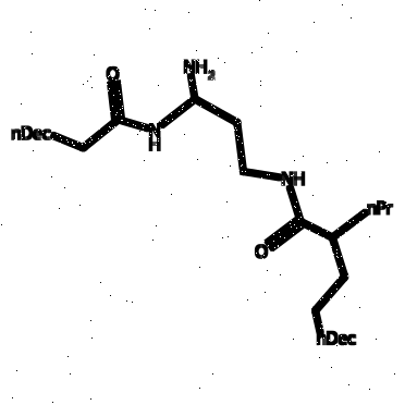 CCCCCCCCCCCCC(CCC)C(=O)NCCC(N)NC(=O)CCCCCCCCCCC